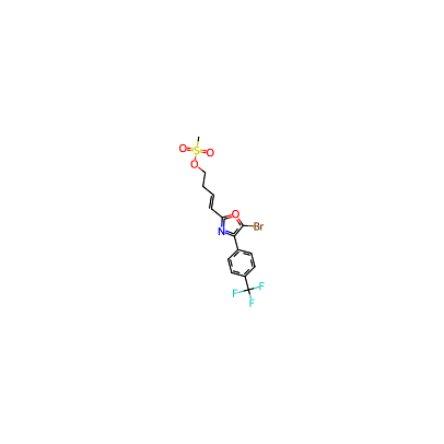 CS(=O)(=O)OCCC=Cc1nc(-c2ccc(C(F)(F)F)cc2)c(Br)o1